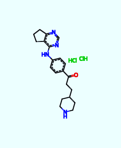 Cl.Cl.O=C(CCC1CCNCC1)c1ccc(Nc2ncnc3c2CCC3)cc1